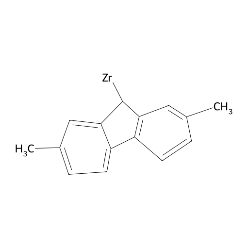 Cc1ccc2c(c1)[CH]([Zr])c1cc(C)ccc1-2